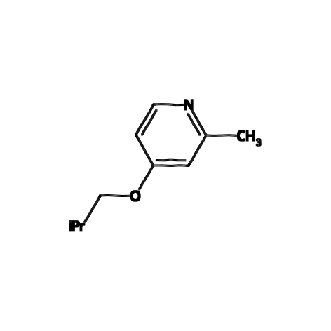 Cc1cc(OCC(C)C)ccn1